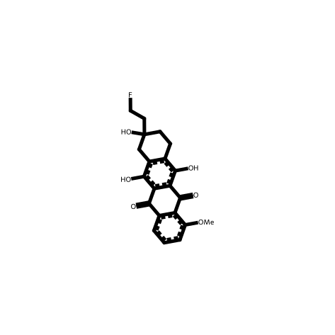 COc1cccc2c1C(=O)c1c(O)c3c(c(O)c1C2=O)CC(O)(CCF)CC3